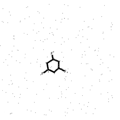 F[C]1CC(F)CC(F)C1